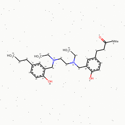 CNC(=O)CCc1ccc(O)c(CN(CCN(CC(=O)O)Cc2cc(CCC(=O)O)ccc2O)CC(=O)O)c1